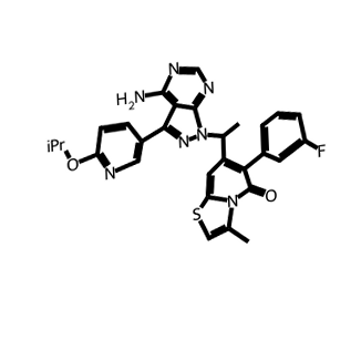 Cc1csc2cc(C(C)n3nc(-c4ccc(OC(C)C)nc4)c4c(N)ncnc43)c(-c3cccc(F)c3)c(=O)n12